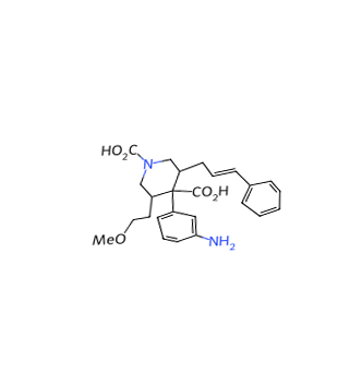 COCCC1CN(C(=O)O)CC(C/C=C/c2ccccc2)C1(C(=O)O)c1cccc(N)c1